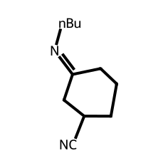 CCCCN=C1CCCC(C#N)C1